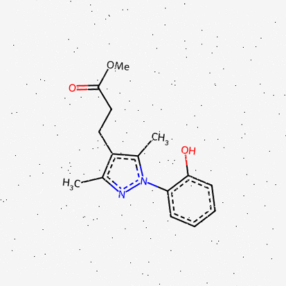 COC(=O)CCc1c(C)nn(-c2ccccc2O)c1C